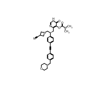 CN(C)C(=O)Oc1c(C[C@H](CN2CC(C#N)C2)c2ccc(C#Cc3ccc(CN4CCOCC4)cc3)cc2)nc[nH]c1=O